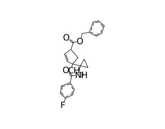 CC1(C2(NC(=O)c3ccc(F)cc3)CC2)C=CC(C(=O)OCc2ccccc2)C1